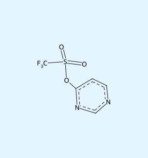 O=S(=O)(Oc1ccncn1)C(F)(F)F